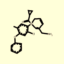 Cc1cc([N+]2(C(=O)C3CC3)C=C(CN)C=CC2)c(Cl)cc1Oc1ccccc1